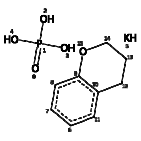 O=P(O)(O)O.[KH].c1ccc2c(c1)CCCO2